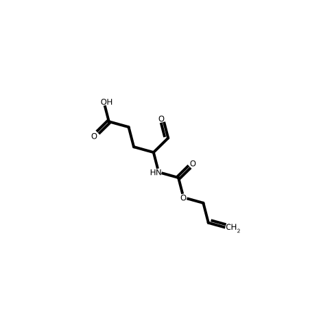 C=CCOC(=O)NC(C=O)CCC(=O)O